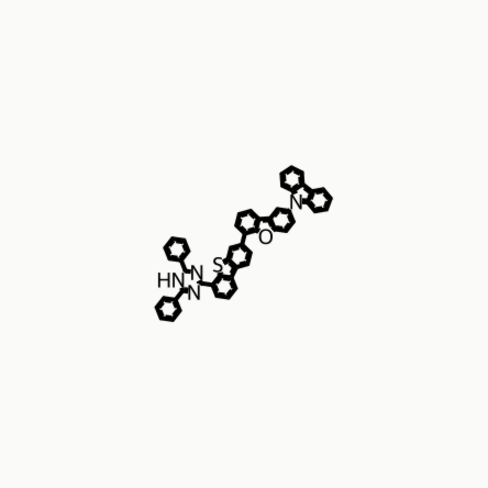 c1ccc(C2=NC(c3cccc4c3sc3cc(-c5cccc6c5oc5ccc(-n7c8ccccc8c8ccccc87)cc56)ccc34)=NC(c3ccccc3)N2)cc1